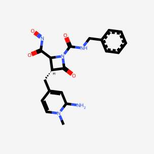 CN1C=CC(C[C@H]2C(=O)N(C(=O)NCc3ccccc3)C2C(=O)N=O)=CC1N